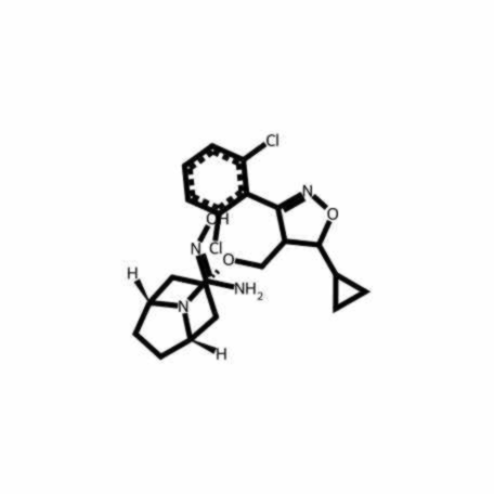 N/C(=N\O)N1[C@@H]2CC[C@H]1C[C@@H](OCC1C(c3c(Cl)cccc3Cl)=NOC1C1CC1)C2